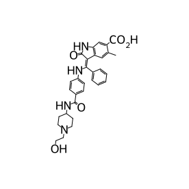 Cc1cc2c(cc1C(=O)O)NC(=O)/C2=C(\Nc1ccc(C(=O)NC2CCN(CCO)CC2)cc1)c1ccccc1